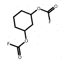 O=C(F)OC1CCCC(OC(=O)F)C1